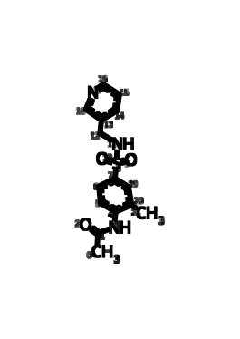 CC(=O)Nc1ccc(S(=O)(=O)NCc2cccnc2)cc1C